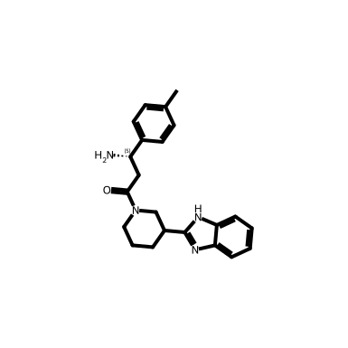 Cc1ccc([C@@H](N)CC(=O)N2CCCC(c3nc4ccccc4[nH]3)C2)cc1